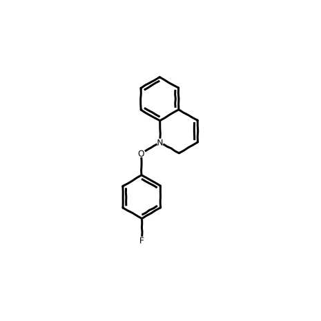 Fc1ccc(ON2CC=Cc3ccccc32)cc1